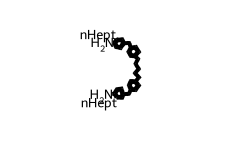 CCCCCCCc1cc(Cc2ccc(CCCCCc3ccc(Cc4ccc(N)c(CCCCCCC)c4)cc3)cc2)ccc1N